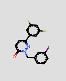 O=c1ccc(-c2cc(F)cc(F)c2)nn1Cc1cccc(I)c1